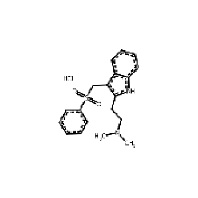 CN(C)CCc1[nH]c2ccccc2c1CS(=O)(=O)c1ccccc1.Cl